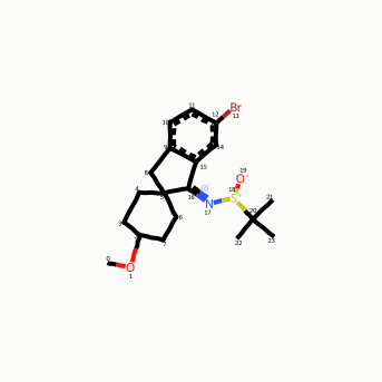 COC1CCC2(CC1)Cc1ccc(Br)cc1/C2=N\[S+]([O-])C(C)(C)C